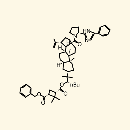 C=C(C)[C@@H]1CC[C@]2(C(=O)N3CCC[C@H]3c3ncc(-c4ccccc4)[nH]3)CC[C@]3(C)[C@H](CC[C@@H]4C[C@H](C(C)(C)[C@H](CCCC)OC(=O)[C@H]5C[C@@H](C(=O)OCc6ccccc6)C5(C)C)CC[C@]43C)[C@@H]12